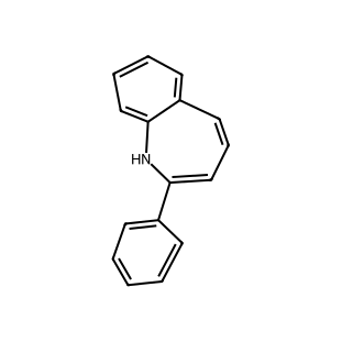 C1=Cc2ccccc2NC(c2ccccc2)=C1